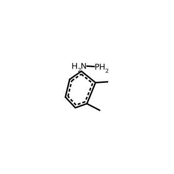 Cc1ccccc1C.NP